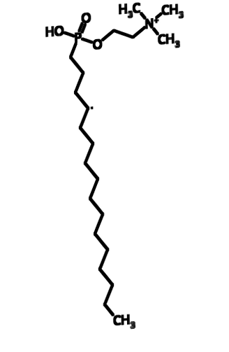 CCCCCCCCCCCC[CH]CCCP(=O)(O)OCC[N+](C)(C)C